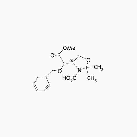 COC(=O)C(OCc1ccccc1)[C@@H]1COC(C)(C)N1C(=O)O